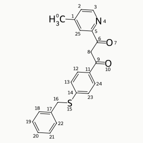 Cc1ccnc(C(=O)CC(=O)c2ccc(SCc3ccccc3)cc2)c1